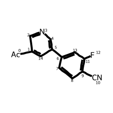 CC(=O)c1cncc(-c2ccc(C#N)c(F)c2)c1